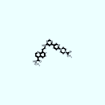 CNC(=O)c1ccnc2c(CCNc3cc(-c4ccc(N5CCN(C(C)=O)CC5)nc4)ncn3)cccc12